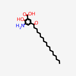 CCCCCCCCCCCCCCCCCC(=O)c1cc(N)c(O)c(C(=O)O)c1